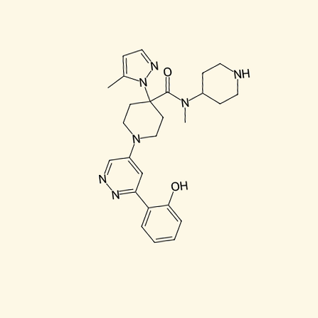 Cc1ccnn1C1(C(=O)N(C)C2CCNCC2)CCN(c2cnnc(-c3ccccc3O)c2)CC1